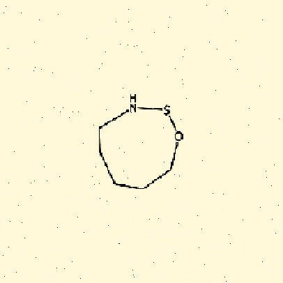 C1CCNSOCC1